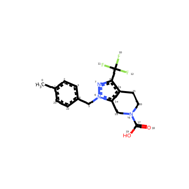 Cc1ccc(Cn2nc(C(F)(F)F)c3c2CN(C(=O)O)CC3)cc1